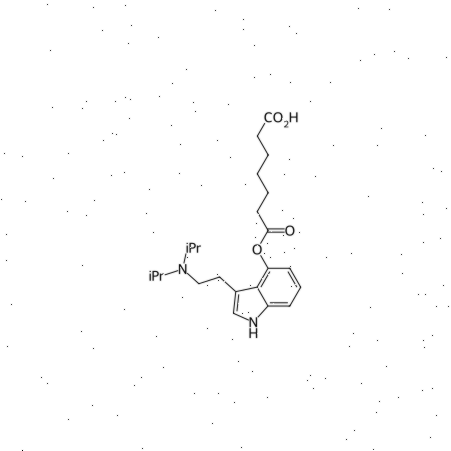 CC(C)N(CCc1c[nH]c2cccc(OC(=O)CCCCCC(=O)O)c12)C(C)C